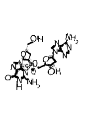 Nc1nc2c(ncn2[C@@H]2O[C@H](CCO)C[C@H]2[P@](=O)(S)OCC2O[C@@H](n3cnc4c(N)ncnc43)C[C@@H]2O)c(=O)[nH]1